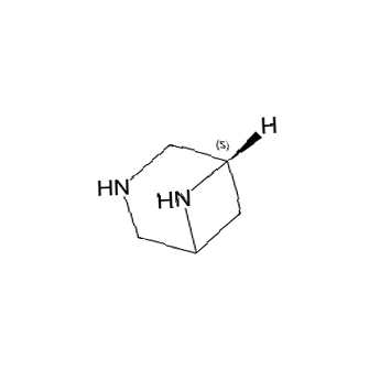 C1NC[C@@H]2CC1N2